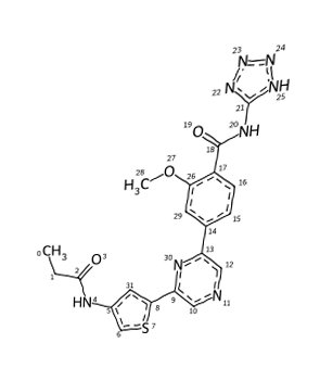 CCC(=O)Nc1csc(-c2cncc(-c3ccc(C(=O)Nc4nnn[nH]4)c(OC)c3)n2)c1